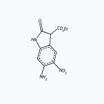 CCOC(=O)C1C(=O)Nc2cc(N)c([N+](=O)[O-])cc21